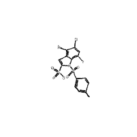 Cc1ccc(S(=O)(=O)n2c(S(=O)(=O)Cl)cc3c(Br)c(Cl)cc(F)c32)cc1